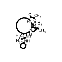 CC(=O)C(=O)[C@@H]1CCCCCCCCCC(C)(C)[C@H](NC(=O)NC2(C)CCCCC2)C(=O)N2CC3C([C@H]2C(=O)N1)C3(C)C